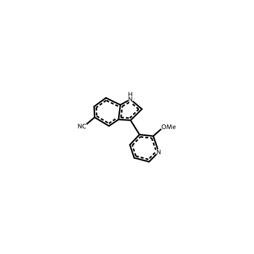 COc1ncccc1-c1c[nH]c2ccc(C#N)cc12